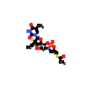 C#CC1(F)[C@@H](O)[C@@H](COP(=O)(OCCSC(C)=O)N(C)C)O[C@H]1n1cc(C)c(=O)[nH]c1=O